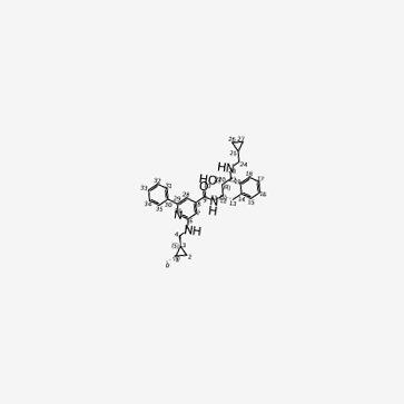 C[C@H]1C[C@@H]1CNc1cc(C(=O)N[C@@H](Cc2ccccc2)[C@H](O)CNCC2CC2)cc(-c2ccccc2)n1